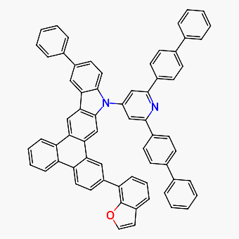 c1ccc(-c2ccc(-c3cc(-n4c5ccc(-c6ccccc6)cc5c5cc6c7ccccc7c7ccc(-c8cccc9ccoc89)cc7c6cc54)cc(-c4ccc(-c5ccccc5)cc4)n3)cc2)cc1